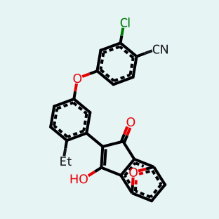 CCc1ccc(Oc2ccc(C#N)c(Cl)c2)cc1C1=C(O)c2c(c3ccc2o3)C1=O